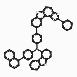 c1ccc(-c2nc3c(ccc4oc5ccc(-c6ccc(N(c7ccc(-c8cccc9ccccc89)cc7)c7cccc8oc9ccccc9c78)cc6)cc5c43)o2)cc1